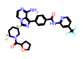 C[C@@H]1CC[C@H](c2nc(-c3ccc(C(=O)Nc4cc(C(F)(F)F)ccn4)cc3)c3c(N)nccn23)CN1C(=O)C1CCCO1